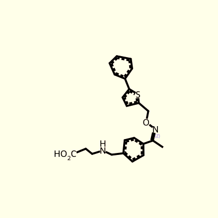 C/C(=N/OCc1ccc(-c2ccccc2)s1)c1ccc(CNCCC(=O)O)cc1